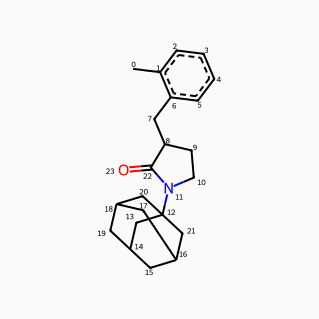 Cc1ccccc1CC1CCN(C23CC4CC(CC(C4)C2)C3)C1=O